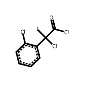 O=C(Cl)C(Cl)(I)c1ccccc1Cl